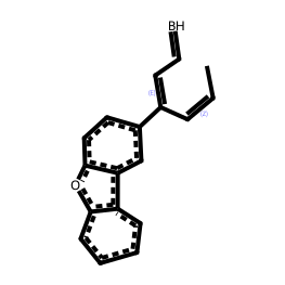 B=C/C=C(\C=C/C)c1ccc2oc3ccccc3c2c1